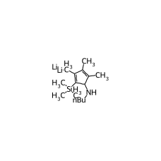 CCCCNC1C(C)=C(C)C(C)=C1[Si](C)(C)C.[Li].[Li]